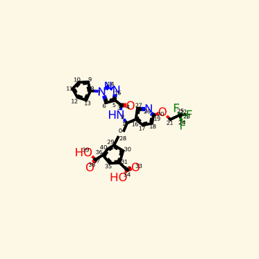 CC(NC(=O)c1cn(-c2ccccc2)nn1)c1ccc(OCC(F)(F)F)nc1.Cc1cc(C(=O)O)cc(C(=O)O)c1